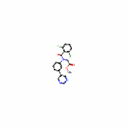 CC(C)(C)OC(=O)CN(C(=O)c1c(F)cccc1F)c1cccc(-c2cncnc2)c1